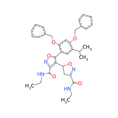 CCNC(=O)C1=NOC(c2c(C(=O)NCC)noc2-c2cc(C(C)C)c(OCc3ccccc3)cc2OCc2ccccc2)C1